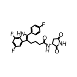 O=C1C[C@@H](NC(=O)CCCc2c(-c3ccc(F)cc3)[nH]c3c(F)cc(F)cc23)C(=O)N1